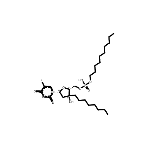 CCCCCCCCCCOP(=O)(O)OC[C@H]1O[C@@H](n2cc(F)c(=O)[nH]c2=O)C[C@@]1(O)CCCCCCCC